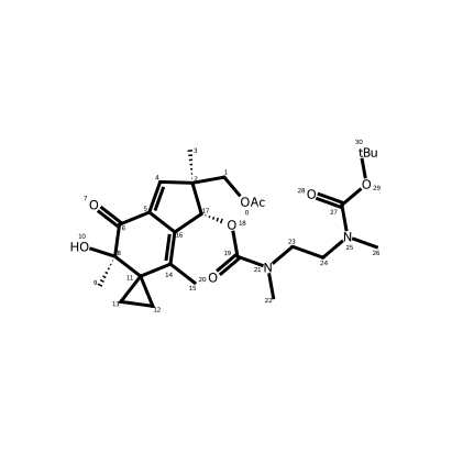 CC(=O)OC[C@]1(C)C=C2C(=O)[C@](C)(O)C3(CC3)C(C)=C2[C@H]1OC(=O)N(C)CCN(C)C(=O)OC(C)(C)C